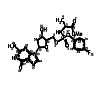 COC(=O)[C@H](C)NP(=O)(OCC1O[C@@H](n2cnc3c(=O)[nH]c(N)nc32)C[C@H]1O)Oc1ccc(F)cc1